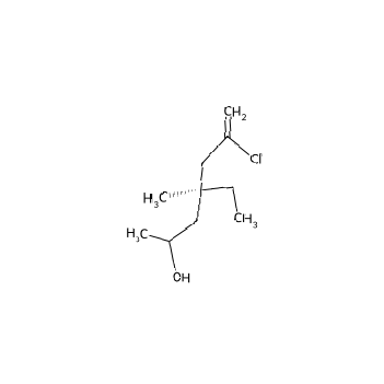 C=C(Cl)C[C@@](C)(CC)CC(C)O